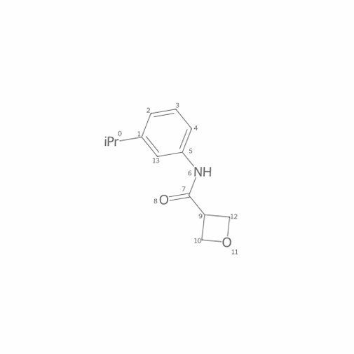 CC(C)c1cccc(NC(=O)C2COC2)c1